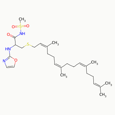 CC(C)=CCCC(C)=CCCC(C)=CCCC(C)=CCSCC(Nc1ncco1)C(=O)NS(C)(=O)=O